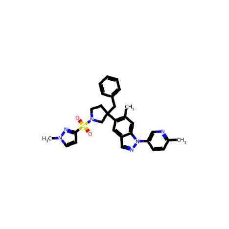 Cc1ccc(-n2ncc3cc(C4(Cc5ccccc5)CCN(S(=O)(=O)c5ccn(C)n5)C4)c(C)cc32)cn1